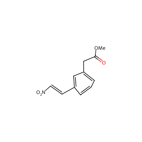 COC(=O)Cc1cccc(C=C[N+](=O)[O-])c1